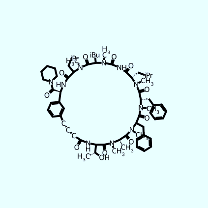 CCC(C)C1C(=O)N(C)C(CC(C)C)C(=O)N[C@H](C(=O)N2CCCCC2)c2cccc(c2)CCCC(=O)NC([C@@H](C)O)C(=O)N(C)[C@@H](C)C(=O)N(C)C(Cc2ccccc2)C(=O)N(C)[C@@H](Cc2ccccc2)C(=O)N(C)[C@@H](CC(C)C)C(=O)NC(=O)N1C